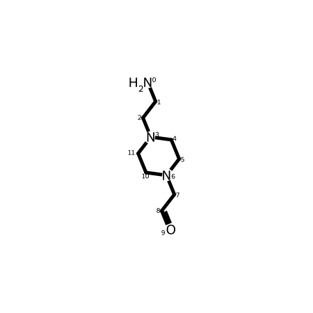 NCCN1CCN(CC=O)CC1